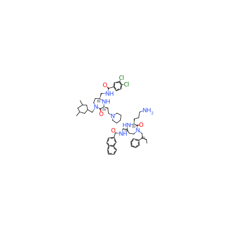 CC1CC(C)CC(CN2CC[C@@H](CNC(=O)c3ccc(Cl)c(Cl)c3)N[C@@H](CCN3CCCCC3)C2=O)C1.CC[C@H](CN1CC[C@@H](CNC(=O)c2ccc3ccccc3c2)N[C@@H](CCCN)C1=O)c1ccccc1